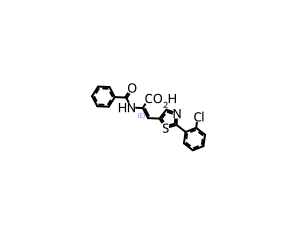 O=C(O)/C(=C\c1cnc(-c2ccccc2Cl)s1)NC(=O)c1ccccc1